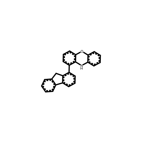 c1ccc2c(c1)Cc1c-2cccc1-c1cccc2c1Nc1ccccc1O2